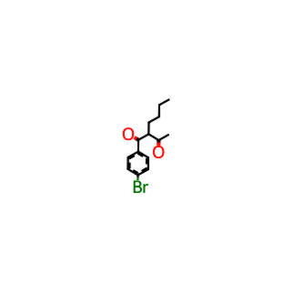 CCCCC(C(C)=O)C(=O)c1ccc(Br)cc1